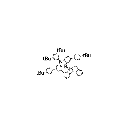 CC(C)(C)c1ccc(-c2ccc3c(c2)B2c4c(cc(-c5ccc(C(C)(C)C)cc5)cc4N3c3cc(C(C)(C)C)cc(C(C)(C)C)c3)-c3cccc4c5c6ccccc6ccc5n2c34)cc1